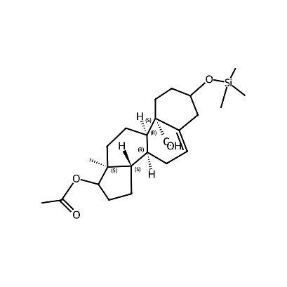 CC(=O)OC1CC[C@H]2[C@@H]3CC=C4CC(O[Si](C)(C)C)CC[C@]4(CO)[C@@H]3CC[C@]12C